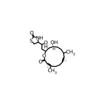 C/C1=C/C(=O)OC(CC(O)C2CSC(=O)N2)C[C@H](O)CCC(C)/C=C\CC1